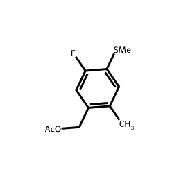 CSc1cc(C)c(COC(C)=O)cc1F